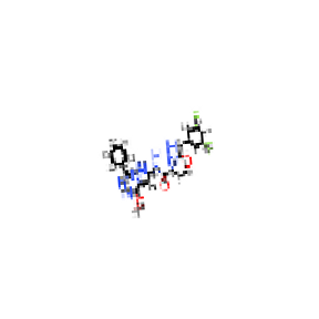 CC[C@H](NC(=O)Cc1cc(F)cc(F)c1)C(=O)Nc1cc2c(OC)nnc(-c3ccccc3)n2n1